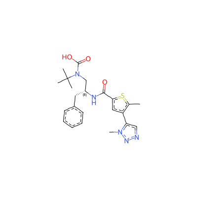 Cc1sc(C(=O)N[C@H](Cc2ccccc2)CN(C(=O)O)C(C)(C)C)cc1-c1cnnn1C